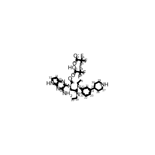 CCn1c(CN(C=O)c2nc3cc[nH]c3nc2N)[n+](CC)c2ccc(C3CCNCC3)cc21.O=C(O)C(F)(F)F.O=C([O-])C(F)(F)F